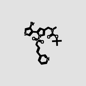 CN(Cc1cc(-c2cscc2Br)n(S(=O)(=O)CC=Cc2cccnc2)c1)C(=O)OC(C)(C)C